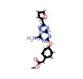 COC(=O)Cc1ccc(Oc2nc(N)n3nc(-c4ccco4)nc3n2)cc1